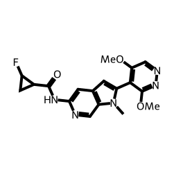 COc1cnnc(OC)c1-c1cc2cc(NC(=O)C3CC3F)ncc2n1C